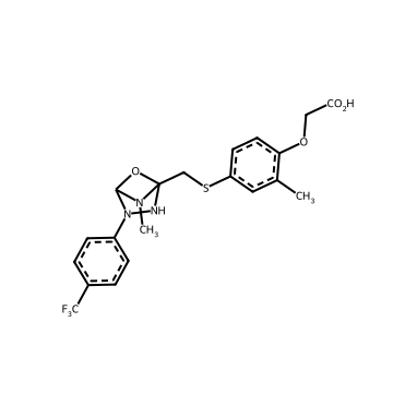 Cc1cc(SCC23NN(c4ccc(C(F)(F)F)cc4)C(O2)N3C)ccc1OCC(=O)O